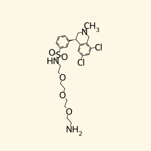 CN1Cc2c(Cl)cc(Cl)cc2[C@@H](c2cccc(S(=O)(=O)NCCOCCOCCOCCN)c2)C1